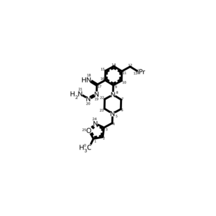 Cc1cc(CN2CCN(c3cc(CC(C)C)ccc3C(=N)/N=N\N)CC2)no1